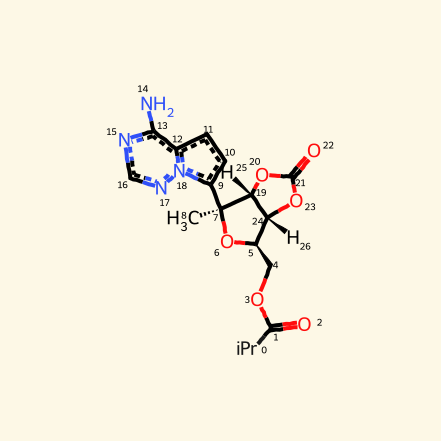 CC(C)C(=O)OC[C@H]1O[C@@](C)(c2ccc3c(N)ncnn23)[C@@H]2OC(=O)O[C@@H]21